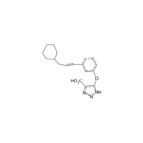 O=C(O)c1nn[nH]c1Oc1cccc(C#CCC2CCCCC2)c1